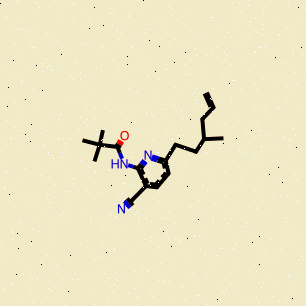 C=CCC(C)CCc1ccc(C#N)c(NC(=O)C(C)(C)C)n1